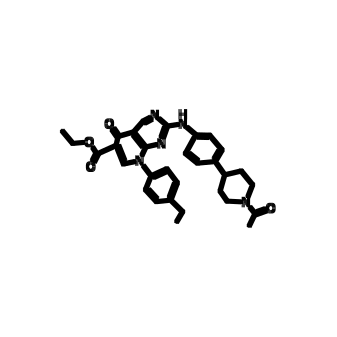 CCOC(=O)c1cn(-c2ccc(CC)cc2)c2nc(Nc3ccc(C4CCN(C(C)=O)CC4)cc3)ncc2c1=O